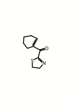 O=C(C1=CCCCC1)C1=NCCS1